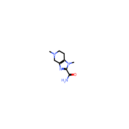 CN1CCc2c(nc(C(N)=O)n2C)C1